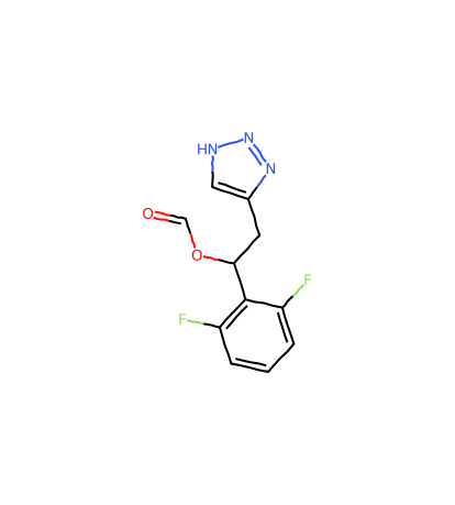 O=COC(Cc1c[nH]nn1)c1c(F)cccc1F